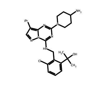 CC(C)c1cnn2c(NCc3c(Cl)cccc3C(C)(C)O)nc(N3CCC(N)CC3)nc12